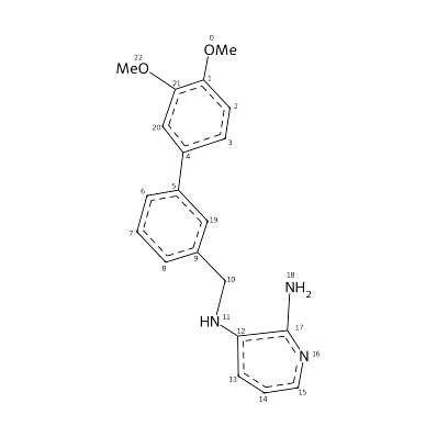 COc1ccc(-c2cccc(CNc3cccnc3N)c2)cc1OC